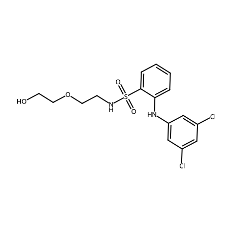 O=S(=O)(NCCOCCO)c1ccccc1Nc1cc(Cl)cc(Cl)c1